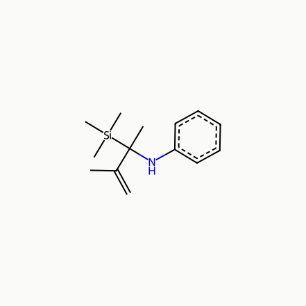 C=C(C)C(C)(Nc1ccccc1)[Si](C)(C)C